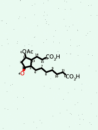 CC(=O)OC1CC(=O)C(CCCCCCC(=O)O)C1CCC(=O)O